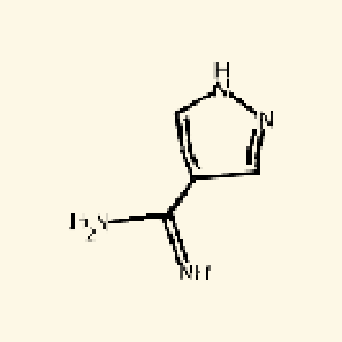 N=C(N)c1cn[nH]c1